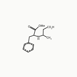 COC(=O)C(Cc1ccccc1)NC(C)CC(=O)O